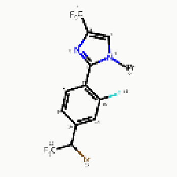 CC(C)n1cc(C(F)(F)F)nc1-c1ccc(C(Br)C(F)(F)F)cc1F